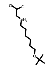 CC(C)(C)OCCCCCC[SiH2]CC(Cl)Cl